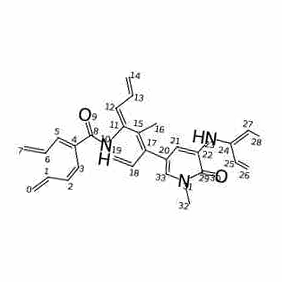 C=C/C=C\C(=C/C=C)C(=O)NC(=C/C=C)/C(C)=C(\C=C)c1cc(N/C(C=C)=C/C)c(=O)n(C)c1